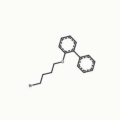 BrCCCCOc1ccccc1-c1ccccc1